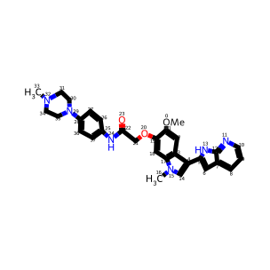 COc1cc2c(-c3cc4cccnc4[nH]3)cn(C)c2cc1OCC(=O)Nc1ccc(N2CCN(C)CC2)cc1